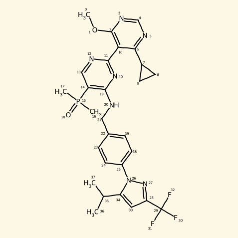 COc1ncnc(C2CC2)c1-c1ncc(P(C)(C)=O)c(NCc2ccc(-n3nc(C(F)(F)F)cc3C(C)C)cc2)n1